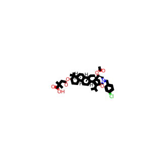 CC(=O)O[C@@H](CN(C)Cc1ccc(Cl)cc1)[C@@]12CC[C@]3(C)[C@H](CC[C@H]4[C@H]3CC[C@H]3C(C)(C)[C@@H](OC(=O)CC(C)(C)C(=O)O)CC[C@]43C)C1=C(C(C)C)C(=O)C2